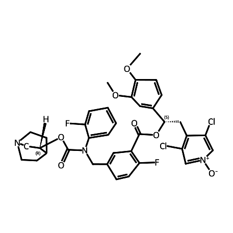 COc1ccc([C@H](Cc2c(Cl)c[n+]([O-])cc2Cl)OC(=O)c2cc(CN(C(=O)O[C@H]3CN4CCC3CC4)c3ccccc3F)ccc2F)cc1OC